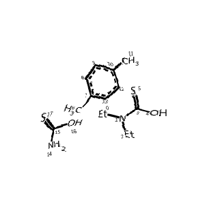 CCN(CC)C(O)=S.Cc1ccc(C)cc1.NC(O)=S